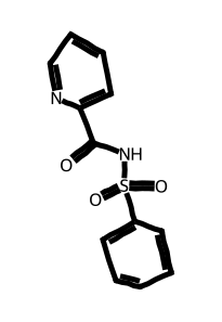 O=C(NS(=O)(=O)c1ccccc1)c1ccccn1